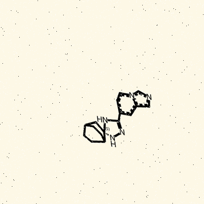 c1cn2cncc2cc1C1=NN[C@]2(CC3CCC2CC3)N1